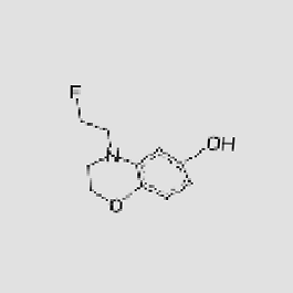 Oc1ccc2c(c1)N(CCF)CCO2